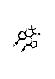 CC1(C)Oc2ccc(C#N)cc2[C@@H](N2CCCC2=NC#N)C1O